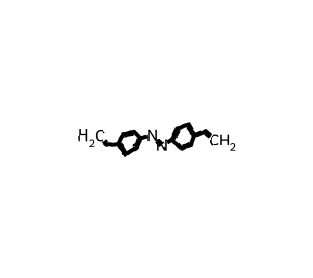 C=Cc1ccc(/N=N/c2ccc(C=C)cc2)cc1